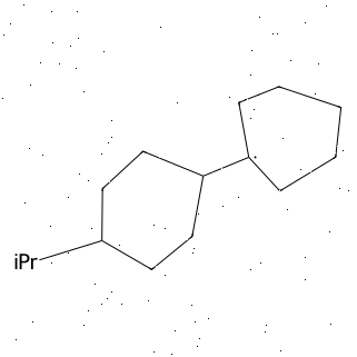 CC(C)C1CCC([C]2CCCCC2)CC1